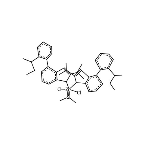 CCC(C)c1ccccc1-c1cccc2c1C=C(C(C)C)[CH]2[Zr]([Cl])([Cl])([CH]1C(C(C)C)=Cc2c(-c3ccccc3C(C)CC)cccc21)[SiH](C)C